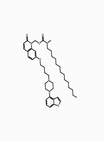 CCCCCCCCCCCCCCN(C)C(=O)OCn1c(=O)ccc2ccc(OCCCCN3CCN(c4cccc5sccc45)CC3)cc21